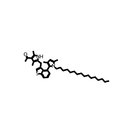 CCCCCCCCCCCCCCCCn1c(C)cc(C)c1-c1cccc2scc(Cc3[nH]c(C)c(C(C)=O)c3C)c12